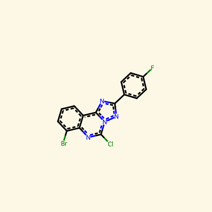 Fc1ccc(-c2nc3c4cccc(Br)c4nc(Cl)n3n2)cc1